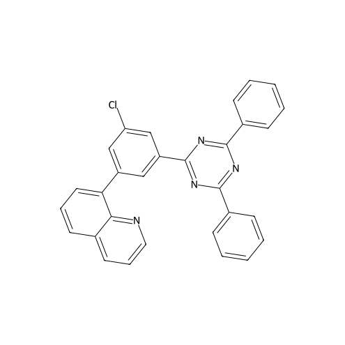 Clc1cc(-c2nc(-c3ccccc3)nc(-c3ccccc3)n2)cc(-c2cccc3cccnc23)c1